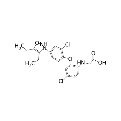 CCC1=C(CC)N(c2ccc(Oc3cc(Cl)ccc3NCC(=O)O)c(Cl)c2)NO1